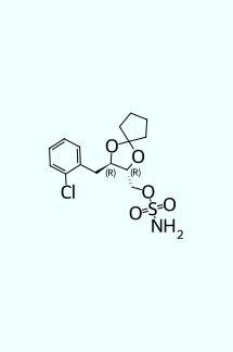 NS(=O)(=O)OC[C@H]1OC2(CCCC2)O[C@@H]1Cc1ccccc1Cl